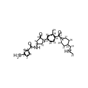 Bc1ccc(C(=O)NC2CC(=O)N(c3ccc(C(=O)N4CCC(CNC)CC4)c(C)c3)C2)s1